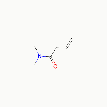 C=CCC(=O)N(C)C